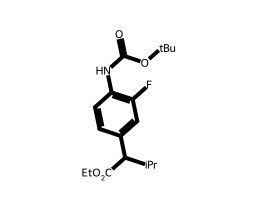 CCOC(=O)C(c1ccc(NC(=O)OC(C)(C)C)c(F)c1)C(C)C